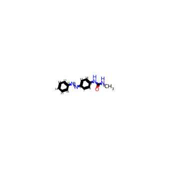 CNC(=O)Nc1ccc(N=Nc2ccccc2)cc1